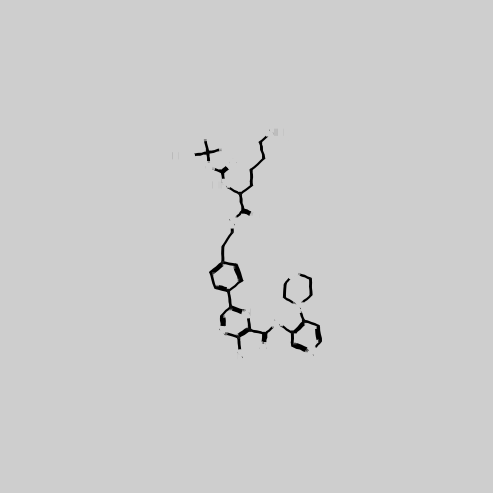 CC(C)(C)OC(=O)NC(CCCCN)C(=O)NCCc1ccc(-c2cnc(N)c(C(=O)Nc3cnccc3N3CCOCC3)n2)cc1